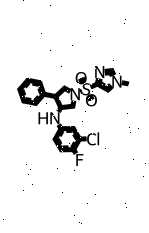 Cn1cnc(S(=O)(=O)N2CC(Nc3ccc(F)c(Cl)c3)C(c3ccccc3)C2)c1